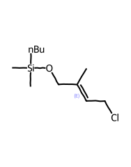 CCCC[Si](C)(C)OC/C(C)=C/CCl